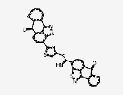 N=C(Sc1csc(-c2ccc3c4c(nsc24)-c2ccccc2C3=O)n1)c1ccc2c3c(nsc13)-c1ccccc1C2=O